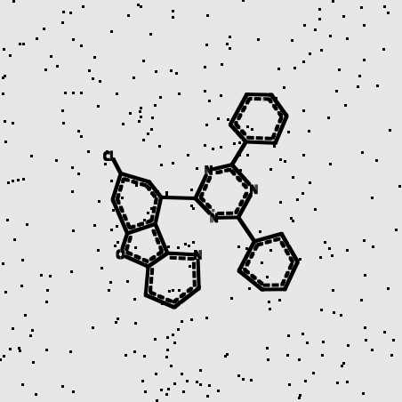 Clc1cc(-c2nc(-c3ccccc3)nc(-c3ccccc3)n2)c2c(c1)oc1cccnc12